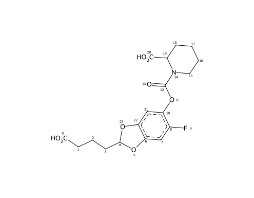 O=C(O)CCCC1Oc2cc(F)c(OC(=O)N3CCCCC3C(=O)O)cc2O1